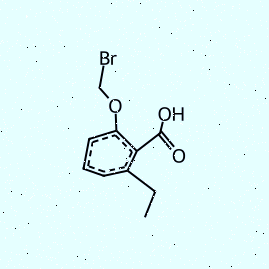 CCc1cccc(OCBr)c1C(=O)O